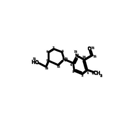 Cc1ccc(N2CCCC(CO)C2)nc1C=O